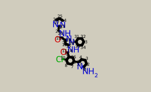 Nc1cccc(-c2ccc(Cl)c(C(=O)Nc3cc(C(=O)NCc4ncccn4)nn3-c3ccccc3)c2)n1